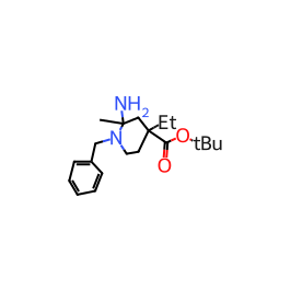 CCC1(C(=O)OC(C)(C)C)CCN(Cc2ccccc2)C(C)(N)C1